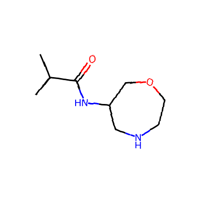 CC(C)C(=O)NC1CNCCOC1